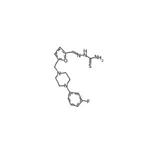 NC(=S)NN=Cc1ccc(CN2CCN(c3cccc(F)c3)CC2)o1